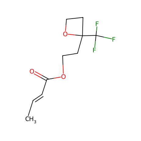 CC=CC(=O)OCCC1(C(F)(F)F)CCO1